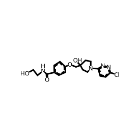 O=C(NCCO)c1ccc(OCC2(O)CCN(c3ccc(Cl)nn3)CC2)cc1